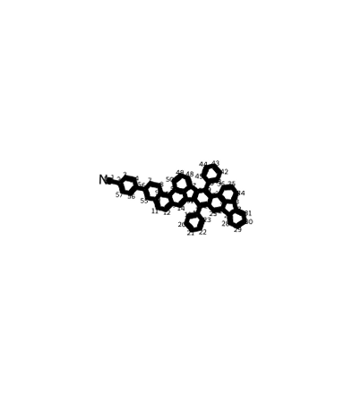 N#Cc1ccc(-c2ccc3c(ccc4cc5c6c(-c7ccccc7)c7cc8c9ccccc9c9cccc(c7c(-c7ccccc7)c6c6cccc(c43)c56)c98)c2)cc1